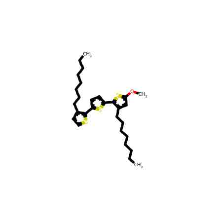 CCCCCCCCc1ccsc1-c1ccc(-c2sc(OC)cc2CCCCCCCC)s1